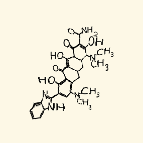 CN(C)c1cc(-c2nc3ccccc3[nH]2)c(O)c2c1CC1CC3C(C(=O)C(C(N)=O)=C(O)C3N(C)C)C(O)=C1C2=O